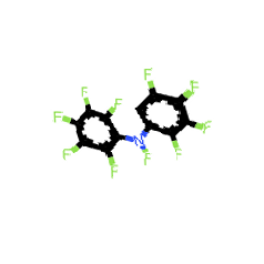 Fc1cc(N(F)c2c(F)c(F)c(F)c(F)c2F)c(F)c(F)c1F